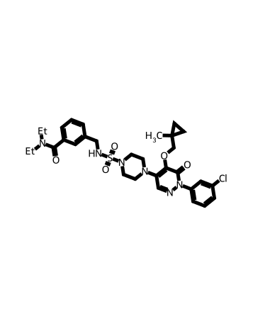 CCN(CC)C(=O)c1cccc(CNS(=O)(=O)N2CCN(c3cnn(-c4cccc(Cl)c4)c(=O)c3OCC3(C)CC3)CC2)c1